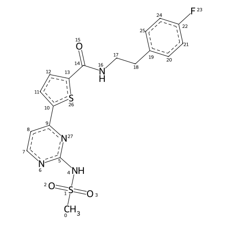 CS(=O)(=O)Nc1nccc(-c2ccc(C(=O)NCCc3ccc(F)cc3)s2)n1